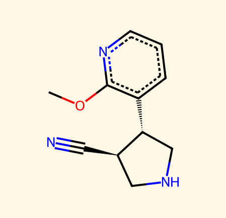 COc1ncccc1[C@@H]1CNC[C@H]1C#N